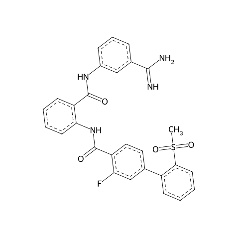 CS(=O)(=O)c1ccccc1-c1ccc(C(=O)Nc2ccccc2C(=O)Nc2cccc(C(=N)N)c2)c(F)c1